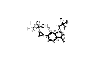 CC(C)(C)[C@H]1C[C@@H]1c1ccc2c(F)nn(CC(F)(F)F)c2c1